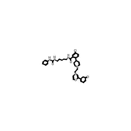 O=C1C=CC=C(C2=CN(CCN3CCC(c4ccc(Cl)cc4C(=O)NCCCCCNC(=O)Nc4ccccc4)CC3)C=CO2)C1